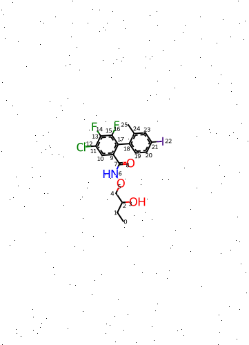 CCC(O)CONC(=O)c1cc(Cl)c(F)c(F)c1-c1ccc(I)cc1C